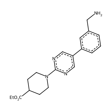 CCOC(=O)C1CCN(c2ncc(-c3cccc(CN)c3)cn2)CC1